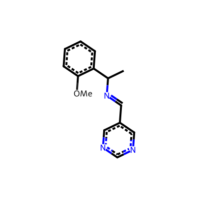 COc1ccccc1C(C)N=Cc1cncnc1